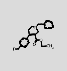 CCOC(=O)C1=C(c2ccc(CF)cc2)CCN(Cc2ccccc2)C1